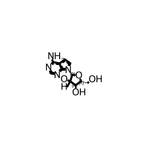 CC1(O)[C@H](O)[C@@H](CO)O[C@H]1n1ccc2c(N)ncnc21